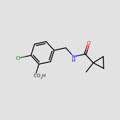 CC1(C(=O)NCc2ccc(Cl)c(C(=O)O)c2)CC1